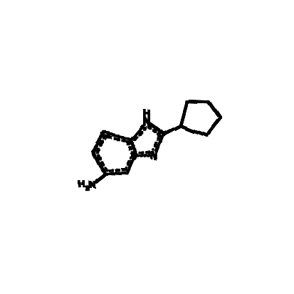 Nc1ccc2[nH]c(C3CCCC3)nc2c1